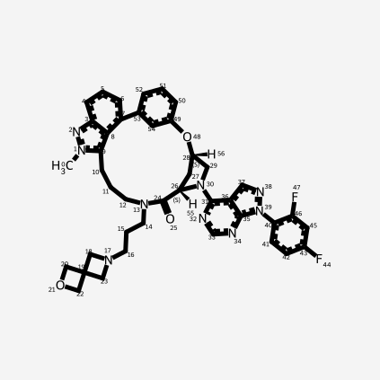 Cn1nc2cccc3c2c1CCCN(CCCN1CC2(COC2)C1)C(=O)[C@@H]1C[C@@H](CN1c1ncnc2c1cnn2-c1ccc(F)cc1F)Oc1cccc-3c1